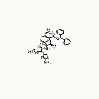 C=CC1=C(C(=O)OC(c2ccccc2)c2ccccc2)N2C(=O)[C@@H](NC(=O)/C(=N\O)c3csc(N)n3)[C@H]2SC1